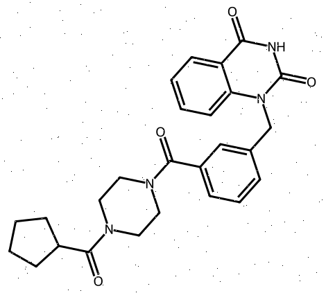 O=C(c1cccc(Cn2c(=O)[nH]c(=O)c3ccccc32)c1)N1CCN(C(=O)C2CCCC2)CC1